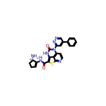 N[C@H]1CCC=C1NC(=O)c1sc2nccc3c2c1NC(=O)N3c1cc(-c2ccccc2)cnn1